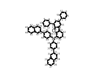 c1ccc(-c2cc(-c3ccccc3)c3oc4c(N(c5ccc(-c6ccc7ccccc7c6)cc5)c5ccc(-c6ccc7ccccc7c6)cc5)cccc4c3c2)cc1